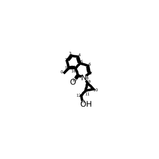 Cc1cccc2ccn(C3CC3CO)c(=O)c12